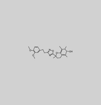 COc1ccc(CCc2noc(C3(C)CCC4=C(C)C(O)C(C)C(C)=C4O3)n2)cc1OC